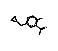 CC(=O)c1cc(CC2CC2)ccc1O